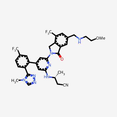 COCCNCc1cc2c(c(C(F)(F)F)c1)CN(c1cc(-c3cc(C(F)(F)F)ccc3-c3nncn3C)cc(N[C@H](C)CC#N)n1)C2=O